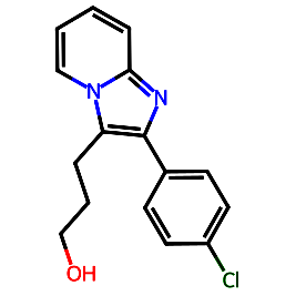 OCCCc1c(-c2ccc(Cl)cc2)nc2ccccn12